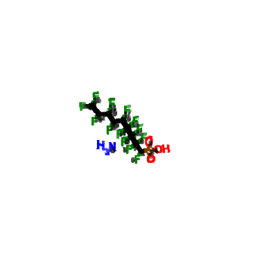 N.O=S(=O)(O)C(F)C(F)(F)C(F)(F)C(F)(F)C(F)C(F)C(F)C(F)C(F)F